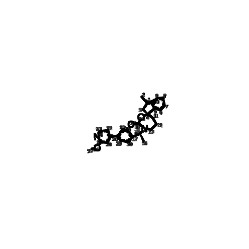 C=C(C)C[C@@]1(c2ccccc2)CCCN([C@@H](C)c2ccc(-c3ccnc(OC)c3)cc2)C(=O)O1